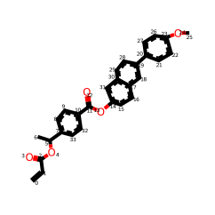 C=CC(=O)OC(C)c1ccc(C(=O)Oc2ccc3cc(-c4ccc(OC)cc4)ccc3c2)cc1